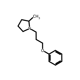 CC1CCCN1CCCOc1ccccc1